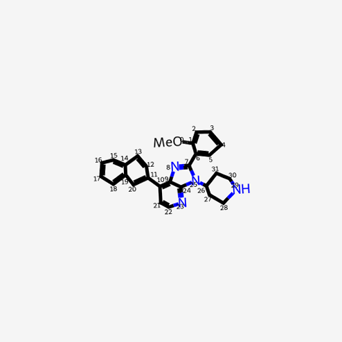 COc1ccccc1-c1nc2c(-c3ccc4ccccc4c3)ccnc2n1C1CCNCC1